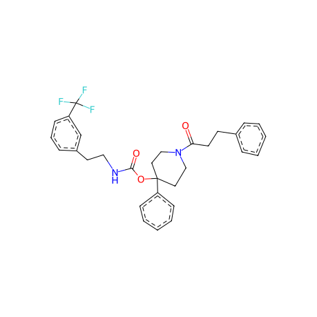 O=C(NCCc1cccc(C(F)(F)F)c1)OC1(c2ccccc2)CCN(C(=O)CCc2ccccc2)CC1